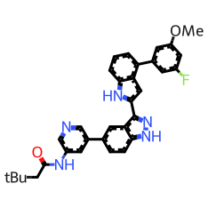 COc1cc(F)cc(-c2cccc3[nH]c(-c4n[nH]c5ccc(-c6cncc(NC(=O)CC(C)(C)C)c6)cc45)cc23)c1